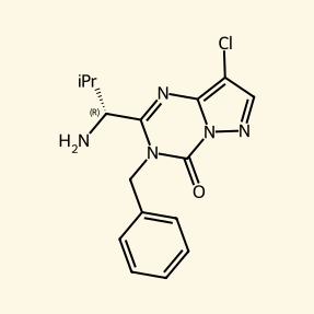 CC(C)[C@@H](N)c1nc2c(Cl)cnn2c(=O)n1Cc1ccccc1